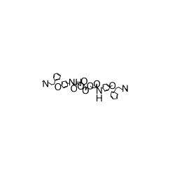 CN(C)CCC(Oc1ccc(NC(=O)COC(=O)C(=O)OCC(=O)Nc2ccc(OC(CCN(C)C)c3ccccc3)cc2)cc1)c1ccccc1